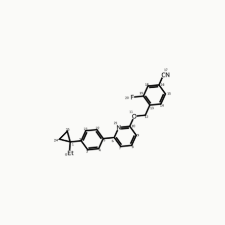 CCC1(c2ccc(-c3cccc(OCc4ccc(C#N)cc4F)n3)cc2)CC1